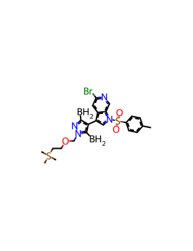 Bc1nn(COCCS(C)(C)C)c(B)c1-c1cn(S(=O)(=O)c2ccc(C)cc2)c2cnc(Br)cc12